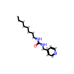 CCCCCCCCNC(=O)NCc1ccncc1